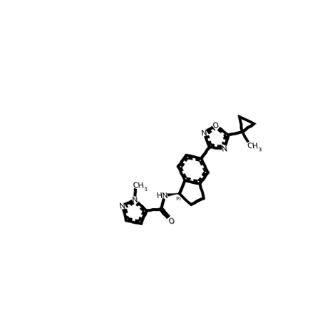 Cn1nccc1C(=O)N[C@@H]1CCc2cc(-c3noc(C4(C)CC4)n3)ccc21